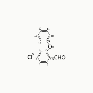 O=Cc1ccc(Cl)cc1Oc1ccccc1